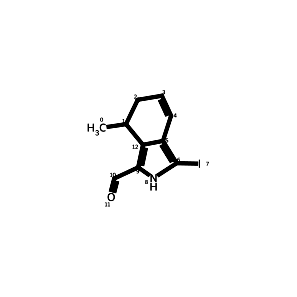 CC1CC=Cc2c(I)[nH]c(C=O)c21